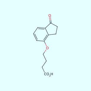 O=C(O)CCCOc1cccc2c1CCC2=O